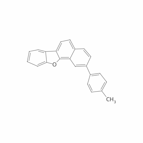 Cc1ccc(-c2ccc3ccc4c5ccccc5oc4c3c2)cc1